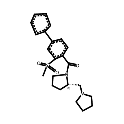 CS(=O)(=O)c1cc(-c2ccccc2)ccc1C(=O)N1CCC[C@H]1CN1CCCC1